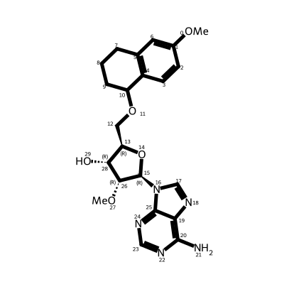 COc1ccc2c(c1)CCCC2OC[C@H]1O[C@@H](n2cnc3c(N)ncnc32)[C@H](OC)[C@@H]1O